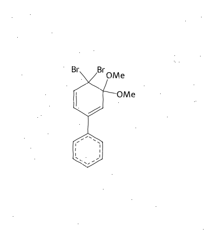 COC1(OC)C=C(c2ccccc2)C=CC1(Br)Br